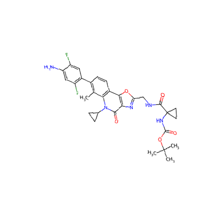 Cc1c(-c2cc(F)c(N)cc2F)ccc2c3oc(CNC(=O)C4(NC(=O)OC(C)(C)C)CC4)nc3c(=O)n(C3CC3)c12